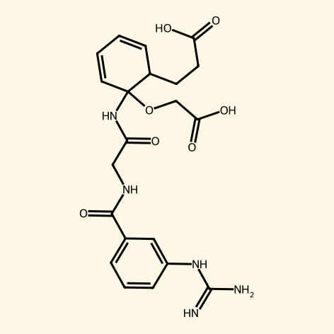 N=C(N)Nc1cccc(C(=O)NCC(=O)NC2(OCC(=O)O)C=CC=CC2CCC(=O)O)c1